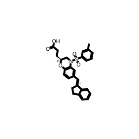 Cc1cccc(S(=O)(=O)N2C[C@H](CCC(=O)O)Oc3ccc(/C=C4\CCc5ccccc54)cc32)c1